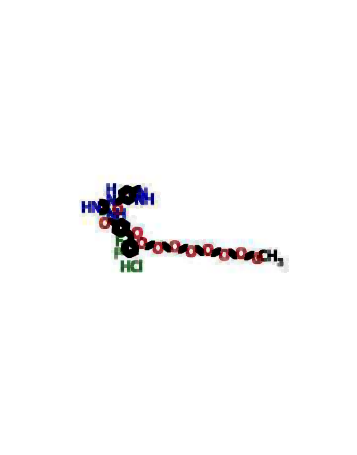 COCCOCCOCCOCCOCCOCCOCCOc1ccc(F)c(F)c1C(=O)c1ccc(C(=O)N[C@@H]2CNC[C@H]2NC(=O)c2ccc3cn[nH]c3c2)cc1.Cl